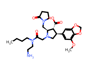 CCCCN(CCN)C(=O)CN1C[C@H](c2cc(OC)c3c(c2)OCO3)[C@@H](C(=O)O)[C@@H]1CN1CCCC1=O